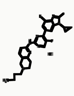 Cc1nc2c(F)cc(-c3nc(Nc4ccc5c(n4)CCN(CCCN)C5)ncc3F)cc2n1C1CC1.Cl